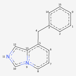 c1ccc(Cc2cccn3cncc23)cc1